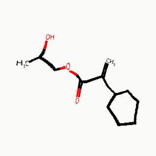 C=C(C(=O)OCC(C)O)C1CCCCC1